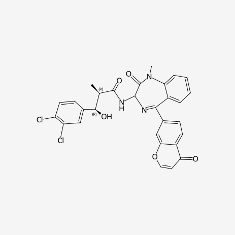 C[C@@H](C(=O)NC1N=C(c2ccc3c(=O)ccoc3c2)c2ccccc2N(C)C1=O)[C@@H](O)c1ccc(Cl)c(Cl)c1